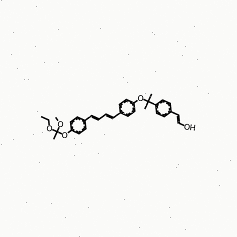 CCOC(C)(OC)Oc1ccc(C=CC=Cc2ccc(OC(C)(C)c3ccc(C=CO)cc3)cc2)cc1